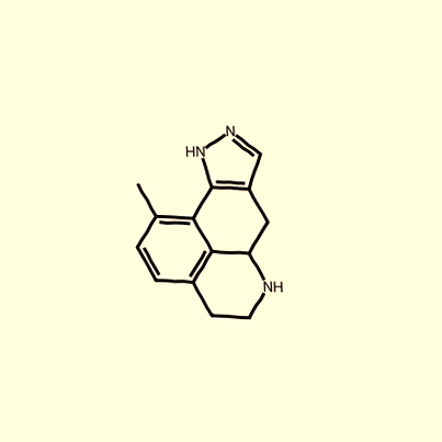 Cc1ccc2c3c1-c1[nH]ncc1CC3NCC2